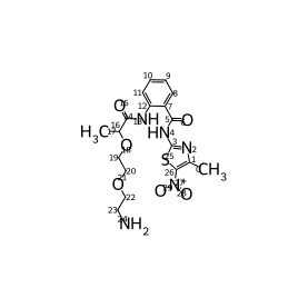 Cc1nc(NC(=O)c2ccccc2NC(=O)C(C)OCCOCCN)sc1[N+](=O)[O-]